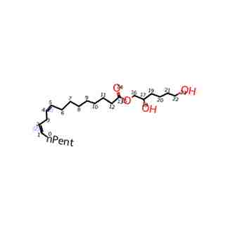 CCCCC/C=C\C/C=C\CCCCCCCC(=O)OCC(O)CCCCO